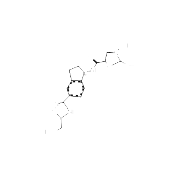 CCC1NC(c2ccc3c(c2)CC[C@H]3NC(=O)C2CN(C)C(O)O2)NO1